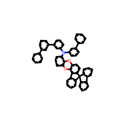 c1ccc(-c2cccc(-c3cccc(N(c4cccc(-c5ccccc5)c4)c4cccc5c4Oc4ccc6c(c4O5)-c4ccccc4C64c5ccccc5-c5ccccc54)c3)c2)cc1